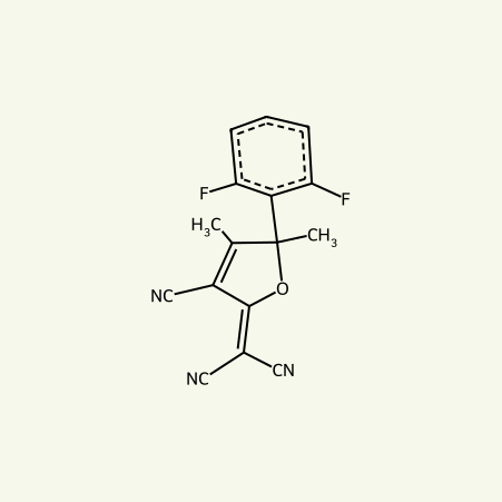 CC1=C(C#N)C(=C(C#N)C#N)OC1(C)c1c(F)cccc1F